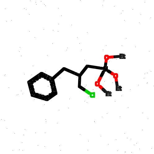 CCO[Si](CC(CCl)Cc1ccccc1)(OCC)OCC